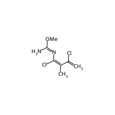 C=C(Cl)/C(C)=C(Cl)\N=C(/N)OC